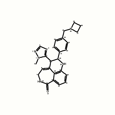 Cn1ncnc1C1C2=CCNC(=O)c3cccc(c32)NC1c1ccc(CN2CCC2)cc1